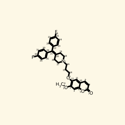 COc1cc2oc(=O)ccc2cc1OCCCN1CCC(=C(c2ccc(F)cc2)c2ccc(F)cc2)CC1